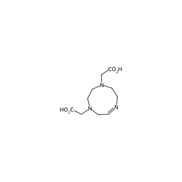 O=C(O)CN1CC=NCCN(CC(=O)O)CC1